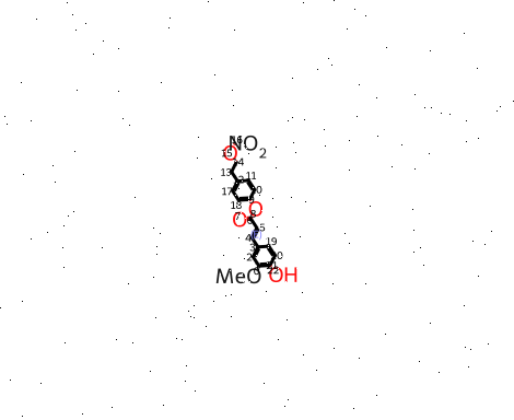 COc1cc(/C=C/C(=O)Oc2ccc(CCO[N+](=O)[O-])cc2)ccc1O